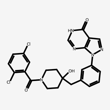 O=C(c1cc(Cl)ccc1Cl)N1CCC(O)(Cc2cccc(-n3ncc4c(=O)[nH]cnc43)c2)CC1